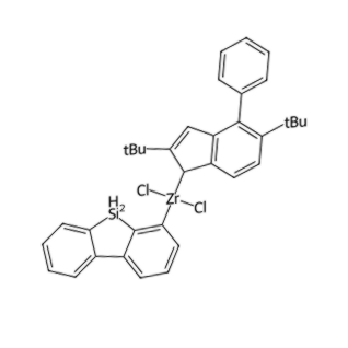 CC(C)(C)C1=Cc2c(ccc(C(C)(C)C)c2-c2ccccc2)[CH]1[Zr]([Cl])([Cl])[c]1cccc2c1[SiH2]c1ccccc1-2